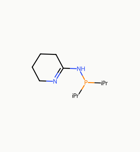 CC(C)P(NC1=NCCCC1)C(C)C